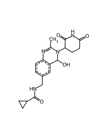 CC1=Nc2ccc(CNC(=O)C3CC3)cc2C(O)N1C1CCC(=O)NC1=O